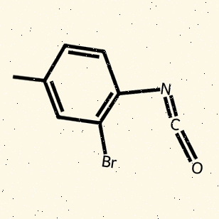 Cc1ccc(N=C=O)c(Br)c1